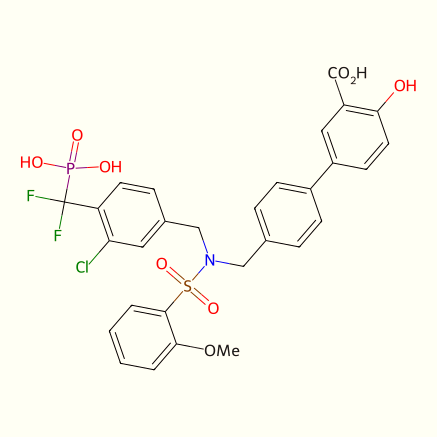 COc1ccccc1S(=O)(=O)N(Cc1ccc(-c2ccc(O)c(C(=O)O)c2)cc1)Cc1ccc(C(F)(F)P(=O)(O)O)c(Cl)c1